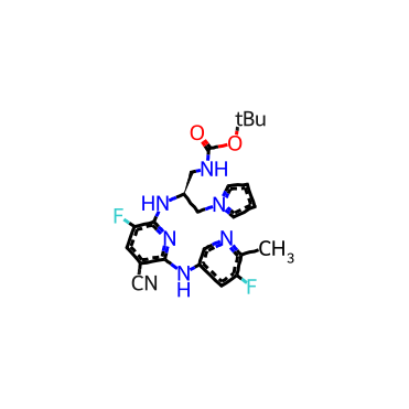 Cc1ncc(Nc2nc(N[C@@H](CNC(=O)OC(C)(C)C)Cn3cccc3)c(F)cc2C#N)cc1F